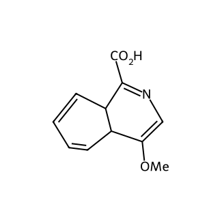 COC1=CN=C(C(=O)O)C2C=CC=CC12